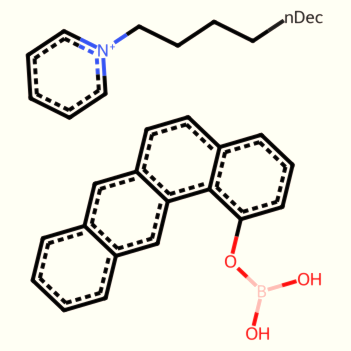 CCCCCCCCCCCCCC[n+]1ccccc1.OB(O)Oc1cccc2ccc3cc4ccccc4cc3c12